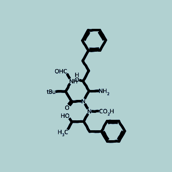 CC(O)C(Cc1ccccc1)N(C(=O)O)N(C(=O)C(NC=O)C(C)(C)C)C(N)C(O)CCc1ccccc1